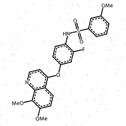 COc1cccc(S(=O)(=O)Nc2ccc(Oc3ccnc4c(OC)c(OC)ccc34)cc2F)c1